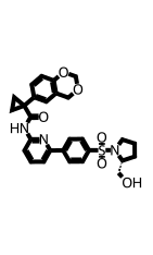 O=C(Nc1cccc(-c2ccc(S(=O)(=O)N3CCC[C@@H]3CO)cc2)n1)C1(c2ccc3c(c2)COCO3)CC1